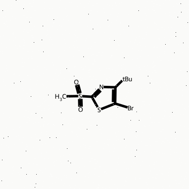 CC(C)(C)c1nc(S(C)(=O)=O)sc1Br